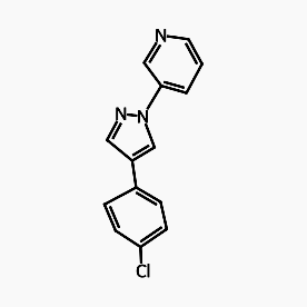 Clc1ccc(-c2cnn(-c3cccnc3)c2)cc1